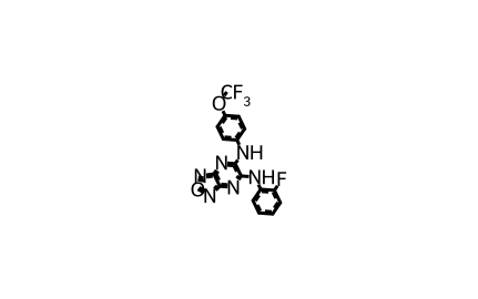 Fc1ccccc1Nc1nc2nonc2nc1Nc1ccc(OC(F)(F)F)cc1